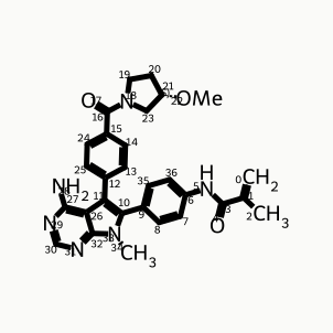 C=C(C)C(=O)Nc1ccc(-c2c(-c3ccc(C(=O)N4CC[C@H](OC)C4)cc3)c3c(N)ncnc3n2C)cc1